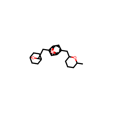 CC1CCCC(Cc2cc3oc2cc3CC2OC3CCC2CC3)O1